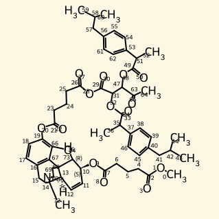 COC(=O)CCCC(=O)O[C@H]1C=C[C@H]2C3Cc4ccc(OC(=O)CCCC(=O)OC(=O)C(OC(=O)C(C)c5ccc(CC(C)C)cc5)C(OC(=O)C(C)c5ccc(CC(C)C)cc5)C(C)=O)c5c4C2(CCN3C)[C@H]1O5